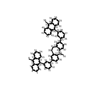 Cc1c2ccccc2c(-c2cccc(-c3ccc4c(c3)CCc3cc(-c5cccc(-c6c7ccccc7c(C)c7ccccc67)c5)ccc3N4C)c2)c2ccccc12